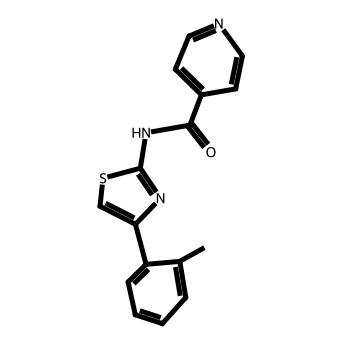 Cc1ccccc1-c1csc(NC(=O)c2ccncc2)n1